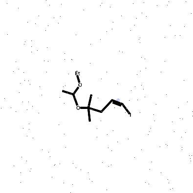 CCOC(C)OC(C)(C)C/C=C\I